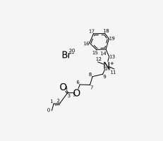 CC=CC(=O)OCCCC[N+](C)(C)Cc1ccccc1.[Br-]